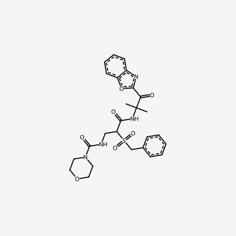 CC(C)(NC(=O)C(CNC(=O)N1CCOCC1)S(=O)(=O)Cc1ccccc1)C(=O)c1nc2ccccc2o1